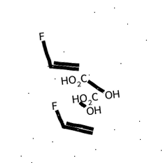 C=CF.C=CF.O=C(O)O.O=C(O)O